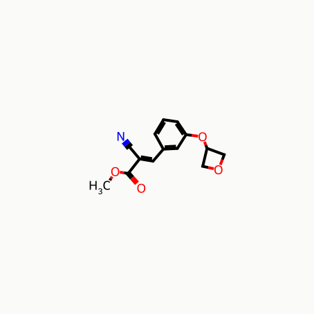 COC(=O)/C(C#N)=C/c1cccc(OC2COC2)c1